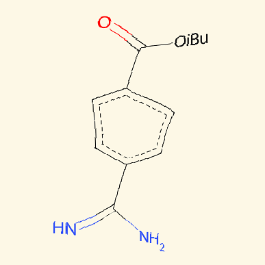 CC(C)COC(=O)c1ccc(C(=N)N)cc1